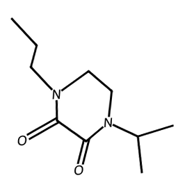 CCCN1CCN(C(C)C)C(=O)C1=O